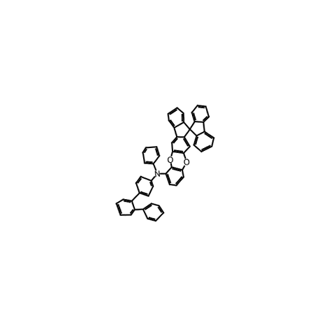 c1ccc(-c2ccccc2-c2ccc(N(c3ccccc3)c3cccc4c3Oc3cc5c(cc3O4)C3(c4ccccc4-c4ccccc43)c3ccccc3-5)cc2)cc1